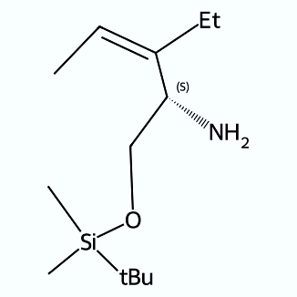 CC=C(CC)[C@H](N)CO[Si](C)(C)C(C)(C)C